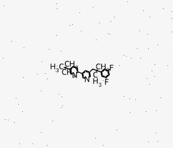 CC(C)(C)c1ccc(-c2cncc(CC(C)(C)c3cc(F)cc(F)c3)c2)nc1